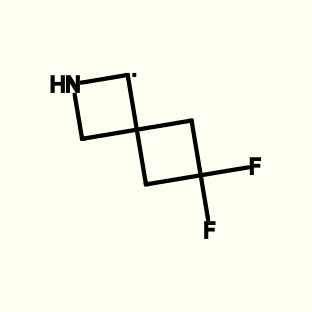 FC1(F)CC2([CH]NC2)C1